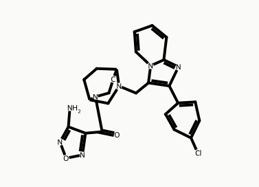 Nc1nonc1C(=O)N1CCC2CCC1CN2Cc1c(-c2ccc(Cl)cc2)nc2ccccn12